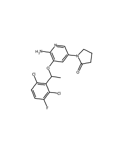 CC(Oc1cc(N2CCCC2=O)cnc1N)c1c(Cl)ccc(F)c1Cl